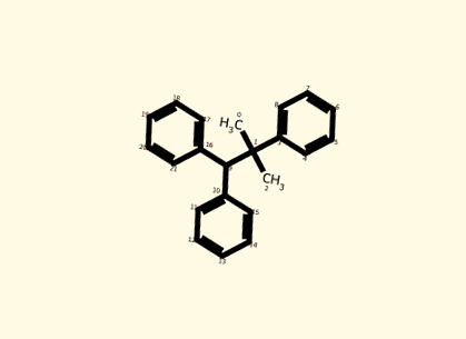 CC(C)(c1[c]cccc1)C(c1ccccc1)c1ccccc1